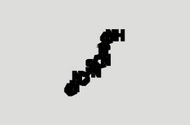 c1cc(N2CCCC2)ncc1-c1nc2cnc(N3CC4(CCNC4)C3)cc2s1